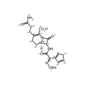 CO/N=C(/C(=O)NC1C(=O)N2C(C(=O)O)=C(COC(N)=O)CS[C@H]12)c1csnn1